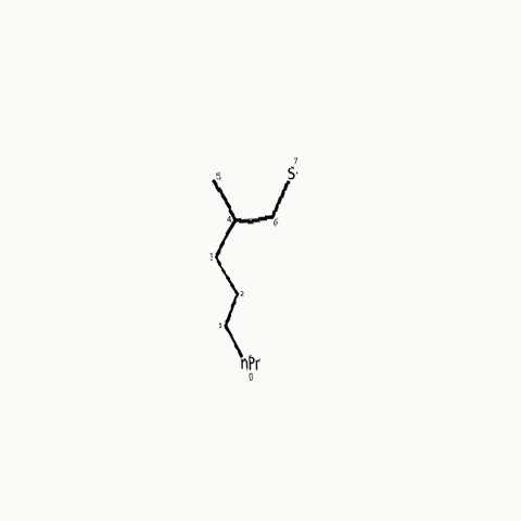 CCCCCCC(C)C[S]